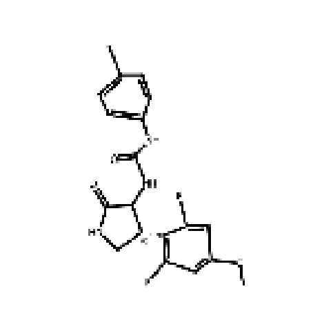 COc1cc(F)c([C@@H]2CNC(=O)C2NC(=O)Nc2ccc(C)cc2)c(F)c1